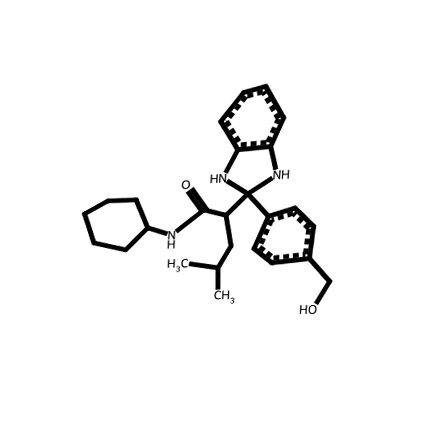 CC(C)CC(C(=O)NC1CCCCC1)C1(c2ccc(CO)cc2)Nc2ccccc2N1